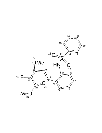 COc1cc(-c2ccccc2NS(=O)(=O)c2ccccc2)cc(OC)c1F